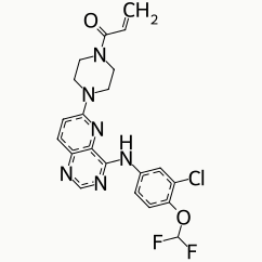 C=CC(=O)N1CCN(c2ccc3ncnc(Nc4ccc(OC(F)F)c(Cl)c4)c3n2)CC1